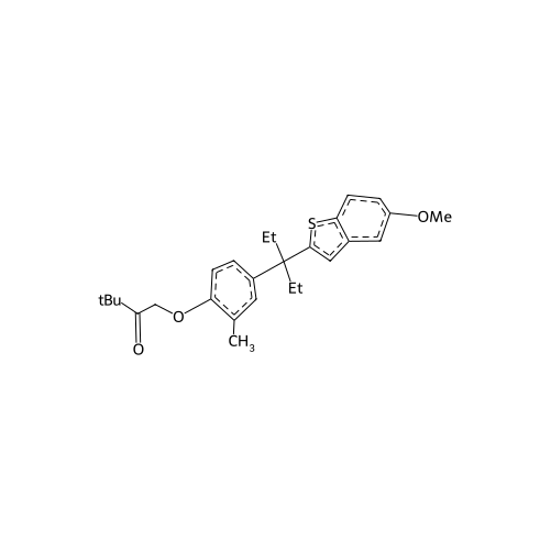 CCC(CC)(c1ccc(OCC(=O)C(C)(C)C)c(C)c1)c1cc2cc(OC)ccc2s1